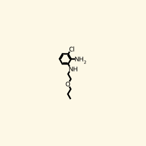 CCCOCCNc1cccc(Cl)c1N